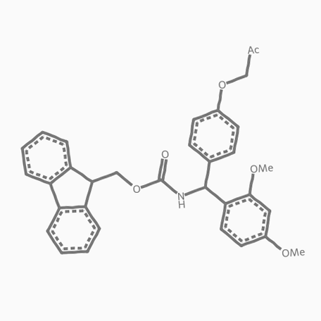 COc1ccc(C(NC(=O)OCC2c3ccccc3-c3ccccc32)c2ccc(OCC(C)=O)cc2)c(OC)c1